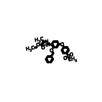 CCOC(=O)C(C)=NNc1ccc(Oc2ccc(S(C)(=O)=O)cc2)cc1OCc1ccccc1